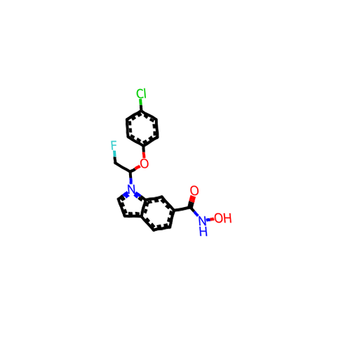 O=C(NO)c1ccc2ccn(C(CF)Oc3ccc(Cl)cc3)c2c1